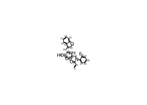 C=CC(=O)N(CC(=O)N[C@@H](C[C@@H]1COc2ccccc21)B(O)O)c1ccccc1F